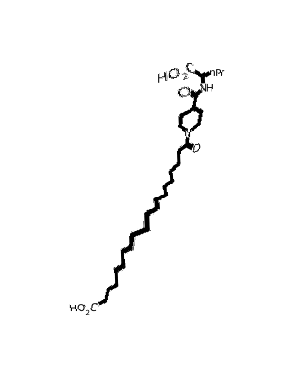 CCCC(NC(=O)C1CCN(C(=O)CCCCCCCCCCCCCCCCCCC(=O)O)CC1)C(=O)O